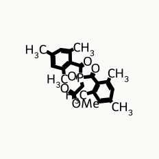 COC(=O)CP(=O)(C(=O)c1c(C)cc(C)cc1C)C(=O)c1c(C)cc(C)cc1C